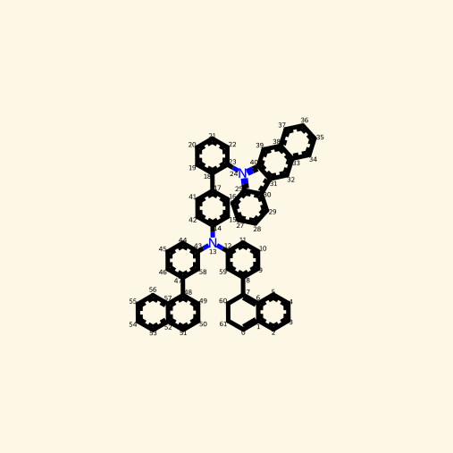 C1=c2ccccc2=C(c2cccc(N(c3ccc(-c4ccccc4-n4c5ccccc5c5cc6ccccc6cc54)cc3)c3cccc(-c4cccc5ccccc45)c3)c2)CC1